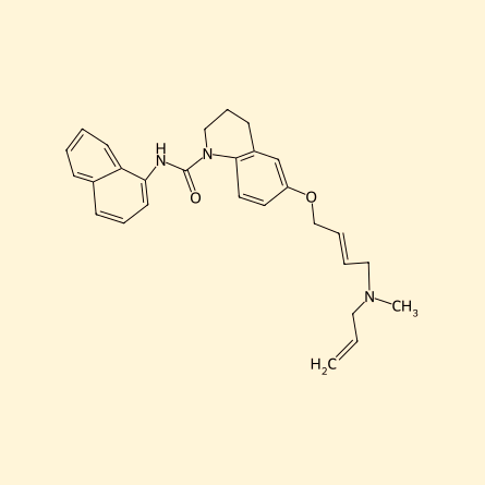 C=CCN(C)C/C=C/COc1ccc2c(c1)CCCN2C(=O)Nc1cccc2ccccc12